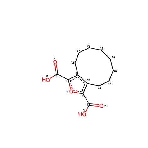 O=C(O)c1oc(C(=O)O)c2c1CCCCCCCC2